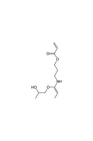 C=CC(=O)OCCCNC(=CC)OCC(C)O